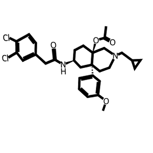 COc1cccc([C@@]23CCN(CC4CC4)C[C@@]2(OC(C)=O)CC[C@H](NC(=O)Cc2ccc(Cl)c(Cl)c2)C3)c1